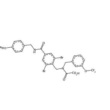 CCCCCc1ccc(CNC(=O)c2cc(Br)c(CN(Cc3cccc(OC(F)(F)F)c3)C(=O)C(=O)O)c(Br)c2)cc1